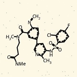 C=Nc1ccc(-c2cnc(C)c(NS(=O)(=O)c3ccc(F)cc3Cl)c2)cc1C(=O)N(C)CCCC(=O)NC